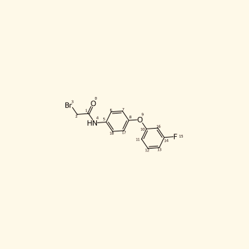 O=C(CBr)Nc1ccc(Oc2cccc(F)c2)cc1